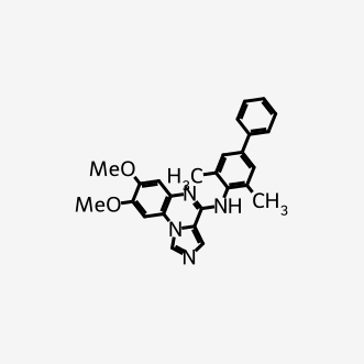 COc1cc2nc(Nc3c(C)cc(-c4ccccc4)cc3C)c3cncn3c2cc1OC